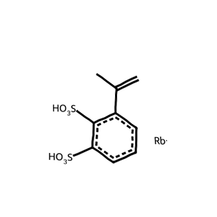 C=C(C)c1cccc(S(=O)(=O)O)c1S(=O)(=O)O.[Rb]